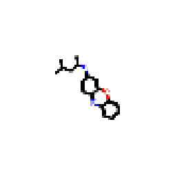 CC(C)CC(C)/N=c1\ccc2nc3ccccc3oc-2c1